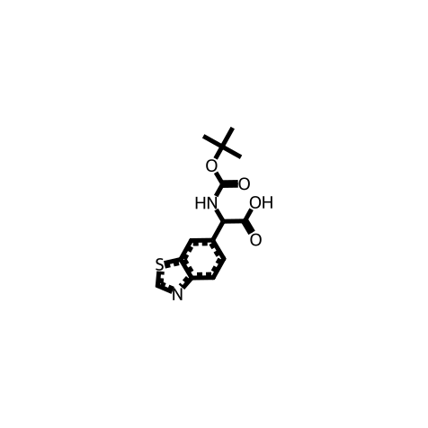 CC(C)(C)OC(=O)NC(C(=O)O)c1ccc2ncsc2c1